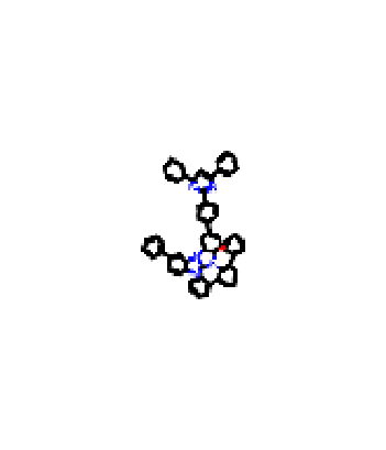 c1ccc(-c2ccc3nc4n(-c5c(-c6ccccc6)cccc5-c5ccccc5)c5ccc(-c6ccc(-c7nc(-c8ccccc8)cc(-c8ccccc8)n7)cc6)cc5n4c3c2)cc1